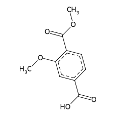 COC(=O)c1ccc(C(=O)O)cc1OC